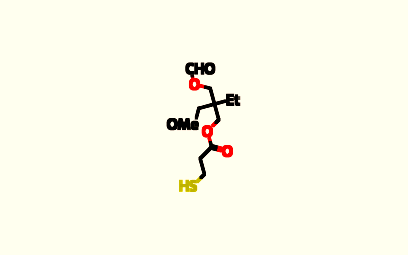 CCC(COC)(COC=O)COC(=O)CCS